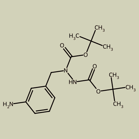 CC(C)(C)OC(=O)NN(Cc1cccc(N)c1)C(=O)OC(C)(C)C